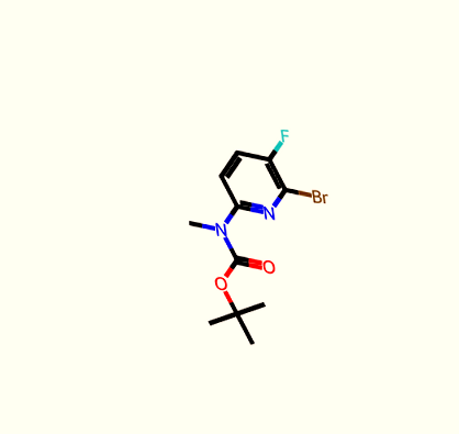 CN(C(=O)OC(C)(C)C)c1ccc(F)c(Br)n1